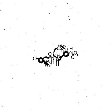 COC(=O)Nc1ccc2c(c1)NS(=O)(=O)CCCCC(NC(=O)C=Cc1cc(Cl)ccc1-n1cnnn1)c1nc-2c[nH]1